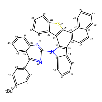 CC(C)(C)c1ccc(-c2nc(-n3c4ccccc4c4c5ccc6ccccc6c5c5sc6ccccc6c5c43)nc3ccccc23)cc1